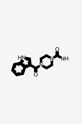 [NH]C(=O)N1CCN(C(=O)c2c[nH]c3ccccc23)CC1